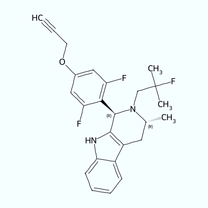 C#CCOc1cc(F)c([C@@H]2c3[nH]c4ccccc4c3C[C@@H](C)N2CC(C)(C)F)c(F)c1